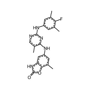 Cc1cnc(Nc2cc(C)c(F)c(C)c2)nc1Nc1cc(C)c2oc(=O)[nH]c2c1